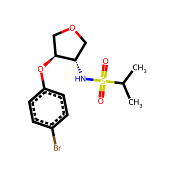 CC(C)S(=O)(=O)N[C@H]1COC[C@@H]1Oc1ccc(Br)cc1